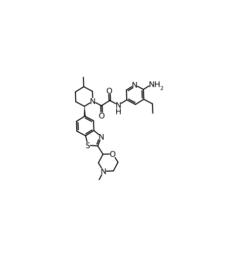 CCc1cc(NC(=O)C(=O)N2CC(C)CC[C@@H]2c2ccc3sc(C4CN(C)CCO4)nc3c2)cnc1N